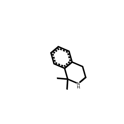 CC1(C)NCCc2ccccc21